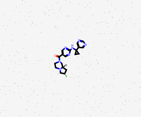 O=C(c1cnc(NC2(c3cncnc3)CC2)nc1)N1CCN2C[C@@H](F)C[C@H]2C1